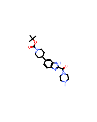 CC(C)(C)OC(=O)N1CCC(c2ccc3nc(C(=O)N4CCNCC4)[nH]c3c2)CC1